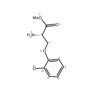 COC(=O)[C@@H](N)COc1ccccc1Cl